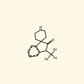 [2H]C([2H])([2H])N1C(=O)C2(CCNCC2)c2ccccc21